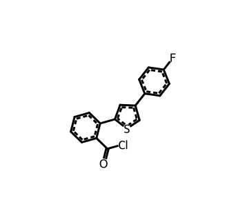 O=C(Cl)c1ccccc1-c1cc(-c2ccc(F)cc2)cs1